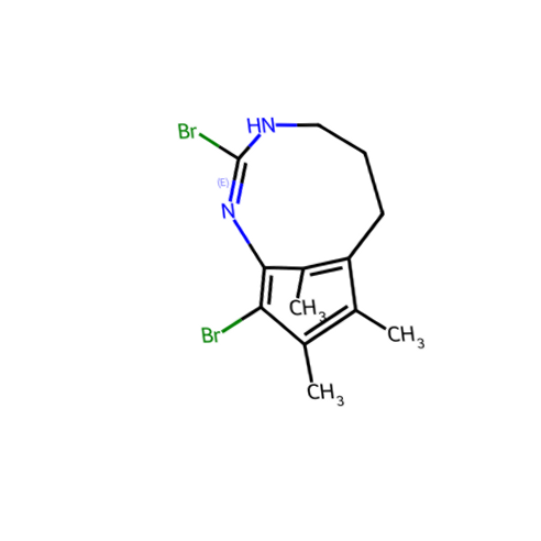 Cc1c(C)c2c(C)c(c1Br)/N=C(/Br)NCCC2